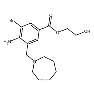 Nc1c(Br)cc(C(=O)OCCO)cc1CN1CCCCCC1